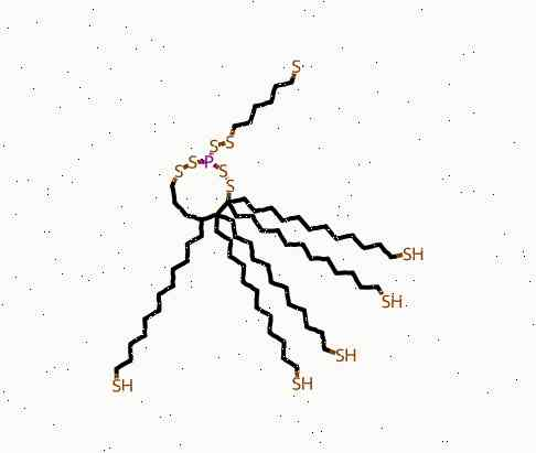 [S]CCCCCCSSP1SSCCCC(CCCCCCCCCCCCS)C(CCCCCCCCCCCCS)(CCCCCCCCCCCCS)C(CCCCCCCCCCCCS)(CCCCCCCCCCCCS)SS1